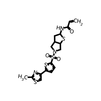 C=CC(=O)NC1CC2CN(S(=O)(=O)c3ccc(-c4csc(C)n4)s3)CC2S1